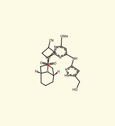 COc1cc(Nc2cc(CO)[nH]n2)nc(NC2C[C@H]3CCC[C@@H](C2)N3S(=O)(=O)N2CC(C#N)C2)n1